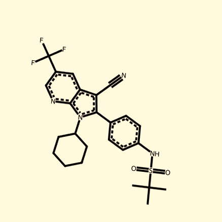 CC(C)(C)S(=O)(=O)Nc1ccc(-c2c(C#N)c3cc(C(F)(F)F)cnc3n2C2CCCCC2)cc1